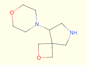 C1CN(C2CNCC23COC3)CCO1